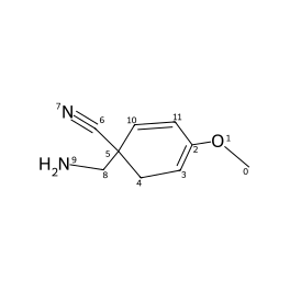 COC1=CCC(C#N)(CN)C=C1